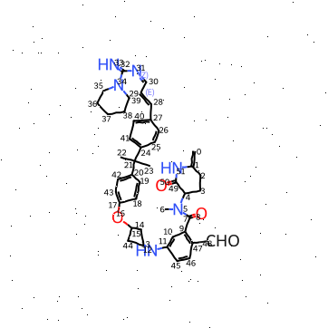 C=C1CCC(N(C)C(=O)c2cc(NC3CC(Oc4ccc(C(C)(C)c5ccc(/C=C/C=N\C(=N)N6CCCCC6)cc5)cc4)C3)ccc2C=O)C(=O)N1